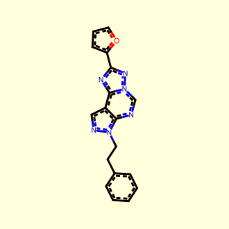 c1ccc(CCn2ncc3c2ncn2nc(-c4ccco4)nc32)cc1